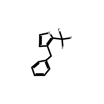 FC(F)(F)c1sccc1Cc1ccccc1